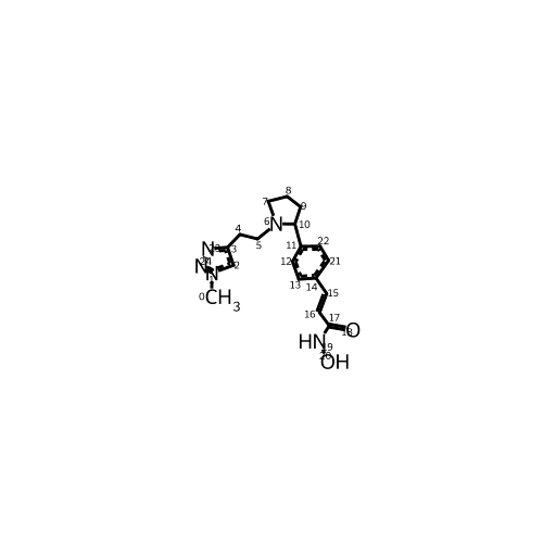 Cn1cc(CCN2CCCC2c2ccc(/C=C/C(=O)NO)cc2)nn1